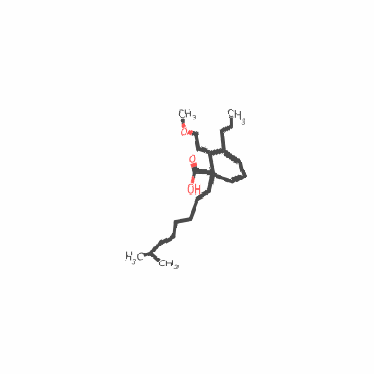 CCCC1=CC=CC(CCCCCCC(C)C)(C(=O)O)C1CCOC